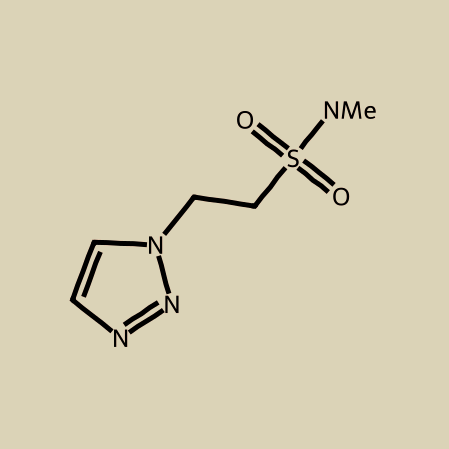 CNS(=O)(=O)CCn1ccnn1